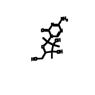 CC1(O)C(CO)OC(C)(n2cnc(N)nc2=O)C1(C)O